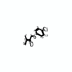 CC(C)C(=O)CSc1ccc(Cl)cc1